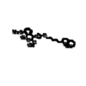 COc1cccc(C(C(=O)OC(C)(C)C)N2CC(OCCCCCc3ccc4c(n3)NCCC4)C2)c1C(C)(C)C